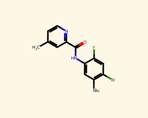 Cc1ccnc(C(=O)Nc2cc(C(C)(C)C)c(Br)cc2F)c1